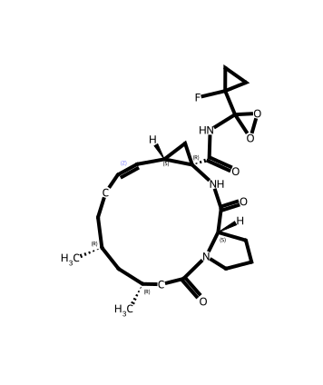 C[C@@H]1CC/C=C\[C@@H]2C[C@@]2(C(=O)NC2(C3(F)CC3)OO2)NC(=O)[C@@H]2CCCN2C(=O)C[C@H](C)C1